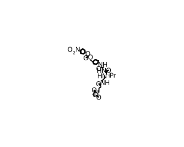 CC(C)[C@H](NCCNC(=O)CCCN1C(=O)C=CC1=O)C(=O)NCC(=O)Nc1ccc(COC(=O)Oc2ccc([N+](=O)[O-])cc2)cc1